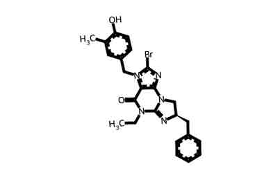 CCN1C(=O)c2c(nc(Br)n2Cc2ccc(O)c(C)c2)N2C[C@@H](Cc3ccccc3)N=C12